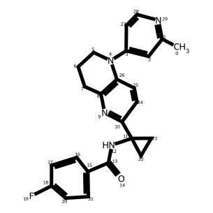 Cc1cc(N2CCCc3nc(C4(NC(=O)c5ccc(F)cc5)CC4)ccc32)ccn1